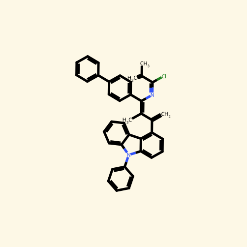 C=C(C)/C(Cl)=N\C(=C(\C)C(=C)c1cccc2c1c1ccccc1n2-c1ccccc1)c1ccc(-c2ccccc2)cc1